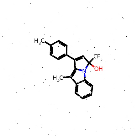 Cc1ccc(C2=CC(O)(C(F)(F)F)n3c2c(C)c2ccccc23)cc1